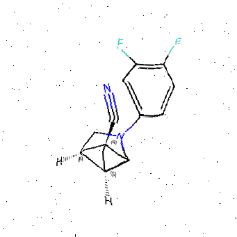 N#C[C@@]12C3[C@H]1[C@H]2CN3c1ccc(F)c(F)c1